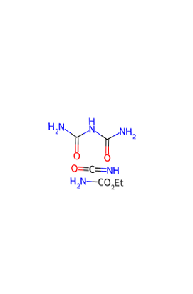 CCOC(N)=O.N=C=O.NC(=O)NC(N)=O